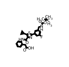 CC(C)(C)OC(=O)NCc1cc(F)cc(-c2nc(C(=O)Nc3ccccc3CC(=O)O)c(C3CC3)s2)c1